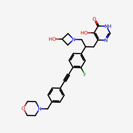 O=c1[nH]cnc(CC(CN2CC(O)C2)c2ccc(C#Cc3ccc(CN4CCOCC4)cc3)c(F)c2)c1O